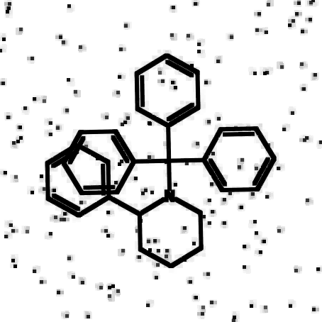 c1ccc(C2CCCCN2C(c2ccccc2)(c2ccccc2)c2ccccc2)cc1